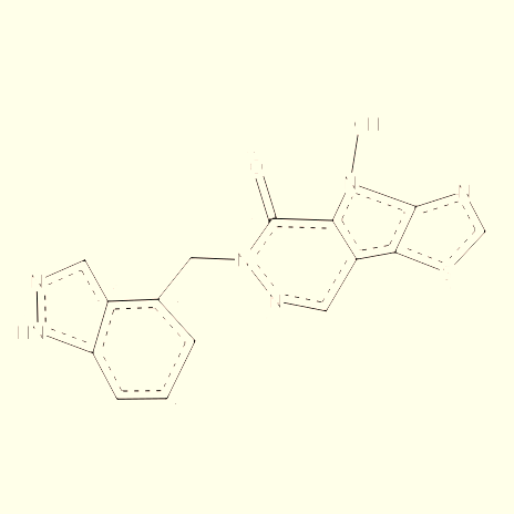 Cn1c2ncsc2c2cnn(Cc3cccc4[nH]ncc34)c(=O)c21